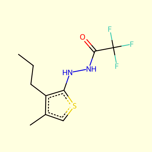 CCCc1c(C)csc1NNC(=O)C(F)(F)F